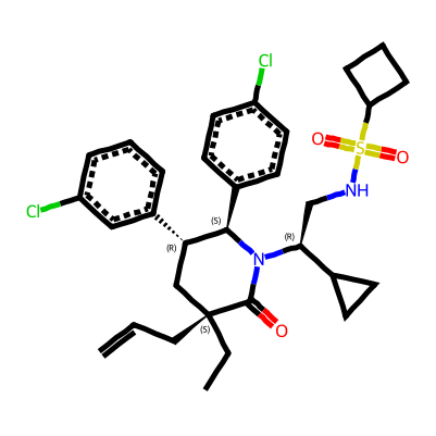 C=CC[C@@]1(CC)C[C@H](c2cccc(Cl)c2)[C@@H](c2ccc(Cl)cc2)N([C@@H](CNS(=O)(=O)C2CCC2)C2CC2)C1=O